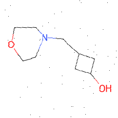 OC1CC(CN2CCOCC2)C1